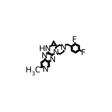 Cc1cc2nc(NC3CC3)c(N3CCN(Cc4ccc(F)cc4F)CC3)nc2cn1